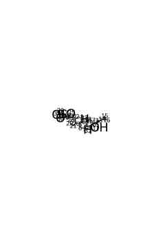 C[C@]12CCC3C(CC[C@@H]4C[C@@](O)(C#CC5CC5)CC[C@H]34)C1CC[C@@H]2C(=O)CSS(C)(=O)=O